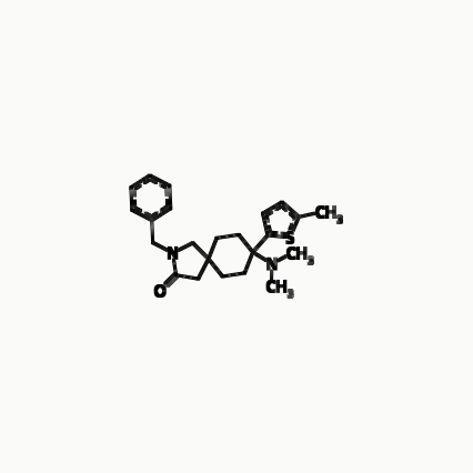 Cc1ccc(C2(N(C)C)CCC3(CC2)CC(=O)N(Cc2ccccc2)C3)s1